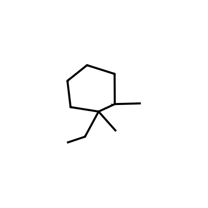 CCC1(C)CCCC[C]1C